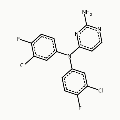 Nc1nccc(N(c2ccc(F)c(Cl)c2)c2ccc(F)c(Cl)c2)n1